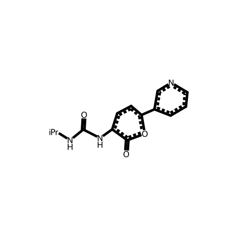 CC(C)NC(=O)Nc1ccc(-c2cccnc2)oc1=O